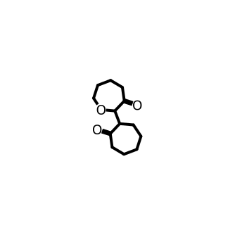 O=C1CCCCCC1C1OCCCCC1=O